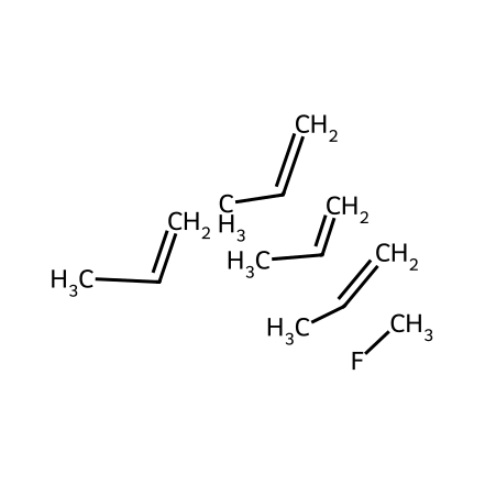 C=CC.C=CC.C=CC.C=CC.CF